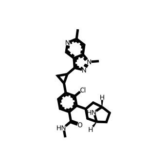 CNC(=O)c1ccc(C2CC2c2nn(C)c3cc(C)ncc23)c(Cl)c1C1C[C@H]2CC[C@@H](C1)N2